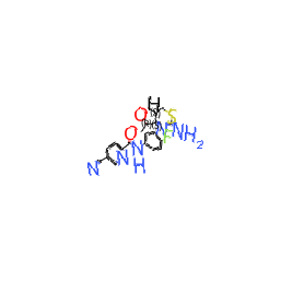 C[C@H]1OC[C@H]2CSC(N)=N[C@]21c1cc(NC(=O)c2ccc(C#N)cn2)ccc1F